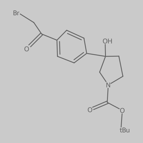 CC(C)(C)OC(=O)N1CCC(O)(c2ccc(C(=O)CBr)cc2)C1